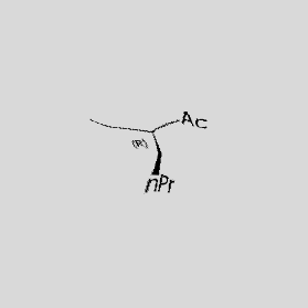 CCC[C@@H](C)C(C)=O